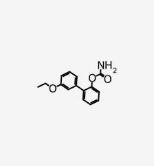 CCOc1cccc(-c2ccccc2OC(N)=O)c1